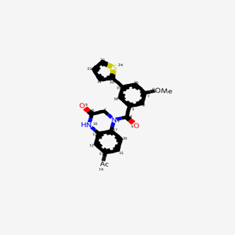 COc1cc(C(=O)N2CC(=O)Nc3cc(C(C)=O)ccc32)cc(-c2cccs2)c1